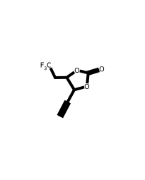 C#CC1OC(=O)OC1CC(F)(F)F